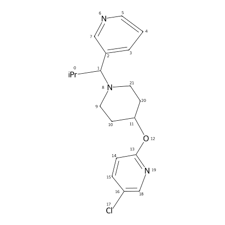 CC(C)C(c1cccnc1)N1CCC(Oc2ccc(Cl)cn2)CC1